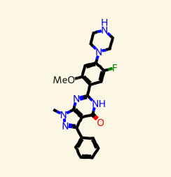 COc1cc(N2CCNCC2)c(F)cc1-c1nc2c(c(-c3ccccc3)nn2C)c(=O)[nH]1